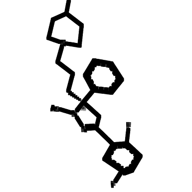 CC(=O)N1N=C(c2cc(F)ccc2F)C[C@]1(CCCN1CCC(F)CC1)c1ccccc1